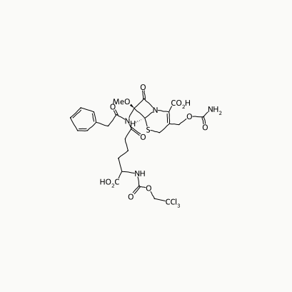 CO[C@@]1(N(C(=O)CCCC(NC(=O)OCC(Cl)(Cl)Cl)C(=O)O)C(=O)Cc2ccccc2)C(=O)N2C(C(=O)O)=C(COC(N)=O)CS[C@H]21